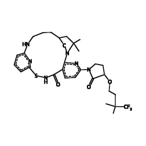 CC1(C)CC2CCCNc3cccc(n3)SNC(=O)c3ccc(N4CCC(OCCC(C)(C)C(F)(F)F)C4=O)nc3N1C2